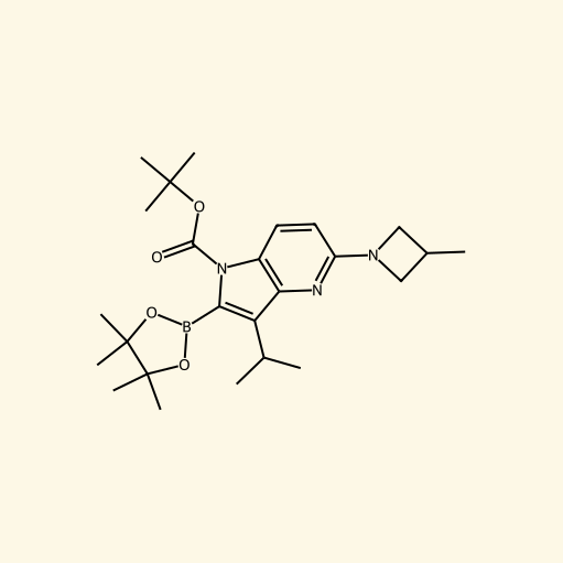 CC1CN(c2ccc3c(n2)c(C(C)C)c(B2OC(C)(C)C(C)(C)O2)n3C(=O)OC(C)(C)C)C1